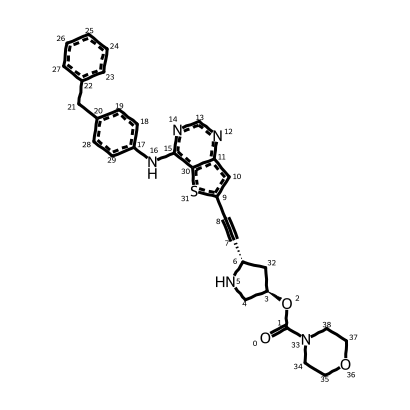 O=C(O[C@H]1CN[C@H](C#Cc2cc3ncnc(Nc4ccc(Cc5ccccc5)cc4)c3s2)C1)N1CCOCC1